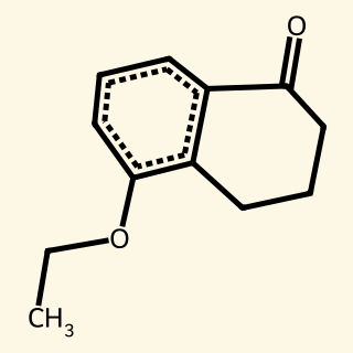 CCOc1cccc2c1CCCC2=O